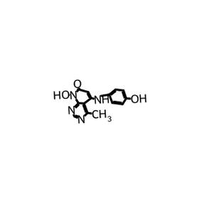 Cc1ncnc2c1c(NCc1ccc(O)cc1)cc(=O)n2O